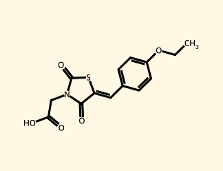 CCOc1ccc(/C=C2\SC(=O)N(CC(=O)O)C2=O)cc1